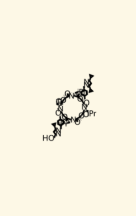 CC(C)C[C@H]1C(=O)O[C@H](Cc2ccc(Cn3nc(C4CC4)cc3C3CC3)cc2)C(=O)N(C)[C@@H](CC(C)C)C(=O)O[C@H](C)C(=O)N(C)[C@@H](CC(C)C)C(=O)O[C@H](Cc2ccc(Cn3nc(CO)cc3C3CC3)cc2)C(=O)N(C)[C@@H](CC(C)C)C(=O)O[C@H](C)C(=O)N1C